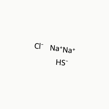 [Cl-].[Na+].[Na+].[SH-]